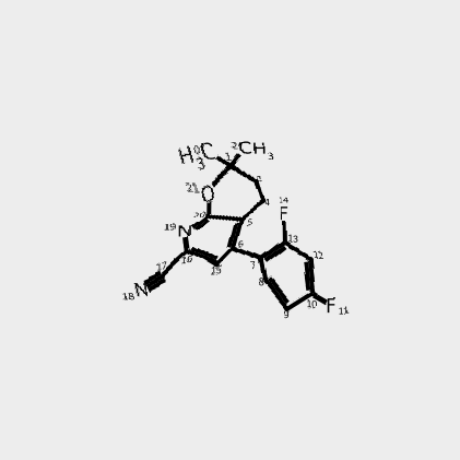 CC1(C)CCc2c(-c3ccc(F)cc3F)cc(C#N)nc2O1